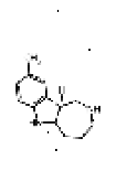 Cc1ccc2c(c1)[C@@H]1CNCCCC1N2